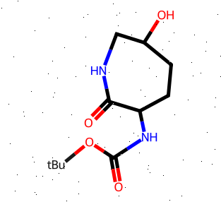 CC(C)(C)OC(=O)NC1CCC(O)CNC1=O